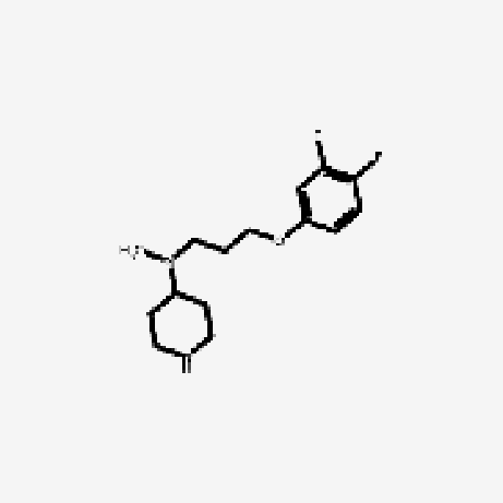 CN(CCCOc1ccc(F)c(F)c1)C1CCNCC1